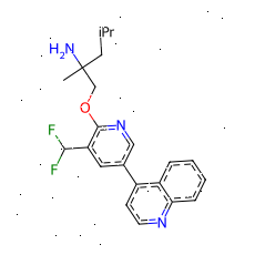 CC(C)CC(C)(N)COc1ncc(-c2ccnc3ccccc23)cc1C(F)F